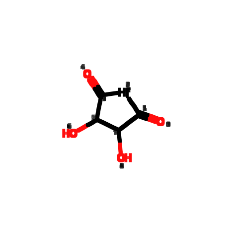 O=[C]1[Hf][C](=O)C(O)C1O